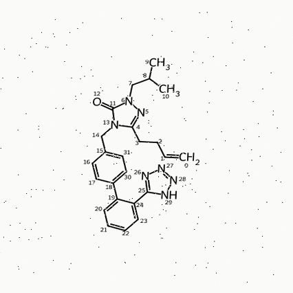 C=CCCc1nn(CC(C)C)c(=O)n1Cc1ccc(-c2ccccc2-c2nnn[nH]2)cc1